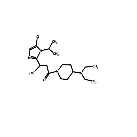 CCN(CC)C1CCN(C(=O)CC(O)c2ncc(Cl)n2C(C)C)CC1